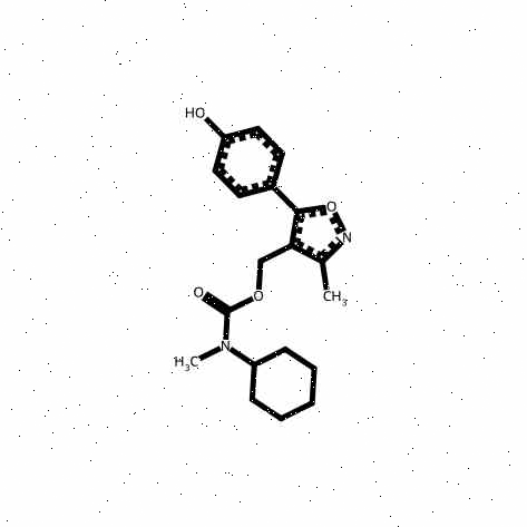 Cc1noc(-c2ccc(O)cc2)c1COC(=O)N(C)C1CCCCC1